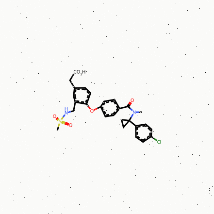 CN(C(=O)c1ccc(Oc2ccc(CC(=O)O)cc2CNS(C)(=O)=O)cc1)C1(c2ccc(Cl)cc2)CC1